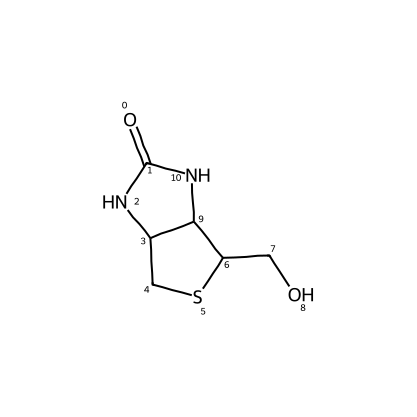 O=C1NC2CSC(CO)C2N1